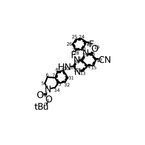 CC(C)(C)OC(=O)N1CCc2cc(Nc3ncc4cc(C#N)c(=O)n(-c5c(F)cccc5F)c4n3)ccc2C1